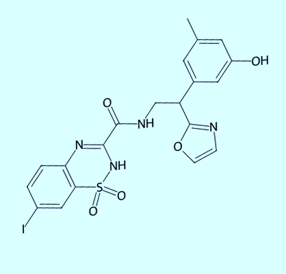 Cc1cc(O)cc(C(CNC(=O)C2=Nc3ccc(I)cc3S(=O)(=O)N2)c2ncco2)c1